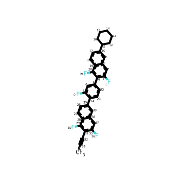 Fc1cc(-c2c(F)cc3cc(C4CCCCC4)ccc3c2F)ccc1-c1ccc2c(F)c(C#CC(F)(F)F)c(F)cc2c1